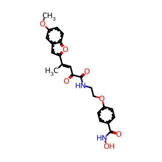 COc1ccc2oc(C(C)=CC(=O)C(=O)NCCOc3ccc(C(=O)NO)cc3)cc2c1